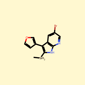 C[SiH2]c1[nH]c2ncc(Br)cc2c1-c1ccoc1